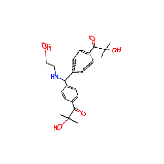 CC(C)(O)C(=O)c1ccc(C(NCCO)c2ccc(C(=O)C(C)(C)O)cc2)cc1